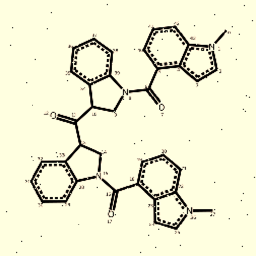 Cn1ccc2c(C(=O)N3CC(C(=O)C4CN(C(=O)c5cccc6c5ccn6C)c5ccccc54)c4ccccc43)cccc21